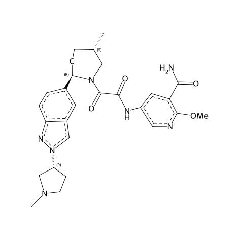 COc1ncc(NC(=O)C(=O)N2C[C@@H](C)CC[C@@H]2c2ccc3nn([C@@H]4CCN(C)C4)cc3c2)cc1C(N)=O